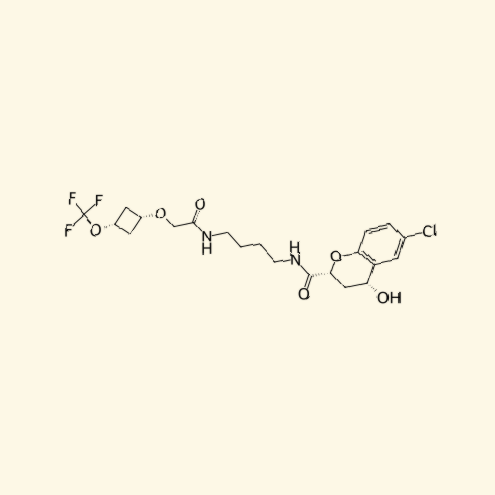 O=C(CO[C@H]1C[C@@H](OC(F)(F)F)C1)NCCCCNC(=O)[C@H]1C[C@@H](O)c2cc(Cl)ccc2O1